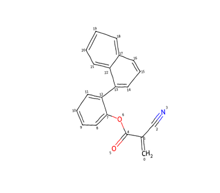 C=C(C#N)C(=O)Oc1ccccc1-c1cccc2ccccc12